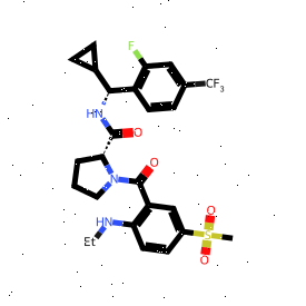 CCNc1ccc(S(C)(=O)=O)cc1C(=O)N1CCC[C@@H]1C(=O)N[C@@H](c1ccc(C(F)(F)F)cc1F)C1CC1